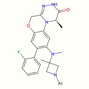 CC(=O)N1CC(C)(N(C)c2cc3c(cc2-c2ccccc2F)OCC2=NNC(=O)[C@@H](C)N23)C1